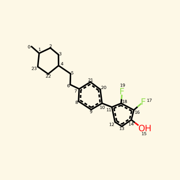 CC1CCC(CCc2ccc(-c3ccc(O)c(F)c3F)cc2)CC1